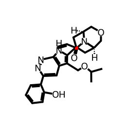 C=CC(=O)N1[C@@H]2COC[C@H]1CC(c1[nH]c3nnc(-c4ccccc4O)cc3c1COC(C)C)C2